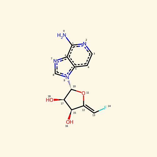 Nc1nccc2c1ncn2[C@@H]1O/C(=C\F)[C@@H](O)[C@H]1O